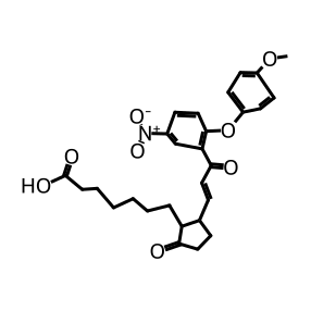 COc1ccc(Oc2ccc([N+](=O)[O-])cc2C(=O)C=CC2CCC(=O)C2CCCCCCC(=O)O)cc1